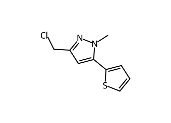 Cn1nc(CCl)cc1-c1cccs1